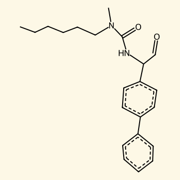 CCCCCCN(C)C(=O)NC(C=O)c1ccc(-c2ccccc2)cc1